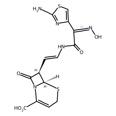 Nc1nc(/C(=N/O)C(=O)NC=C[C@@H]2C(=O)N3C(C(=O)O)=CCS[C@H]23)cs1